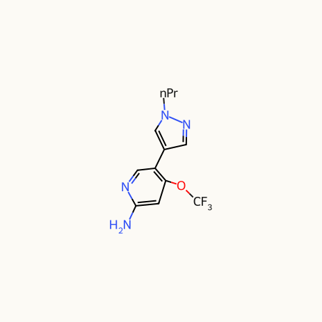 CCCn1cc(-c2cnc(N)cc2OC(F)(F)F)cn1